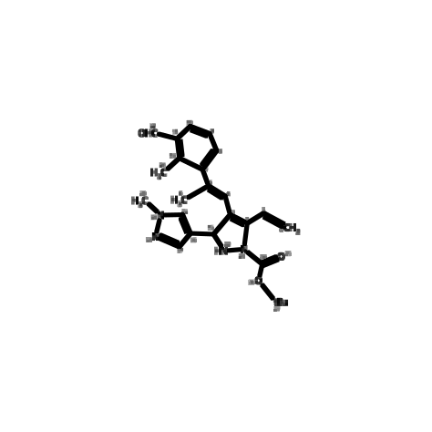 C=CC1=C(/C=C(\C)c2cccc(C=O)c2C)C(c2cnn(C)c2)NN1C(=O)OC(C)(C)C